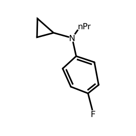 CCCN(c1ccc(F)cc1)C1CC1